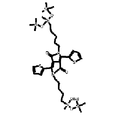 CO[Si](C)(CCCCCN1C(=O)C2=C(c3cccs3)N(CCCCC[Si](C)(O[Si](C)(C)C)O[Si](C)(C)C)C(=O)C2=C1c1cccs1)O[Si](C)(C)C